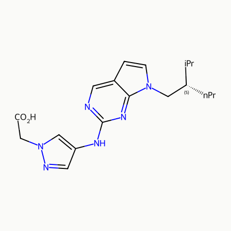 CCC[C@H](Cn1ccc2cnc(Nc3cnn(CC(=O)O)c3)nc21)C(C)C